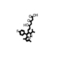 Cc1cc(C)n2nc(C(C)C)c(C=CC(O)CC(=O)CC(=O)O)c(-c3ccc(F)cc3)c12